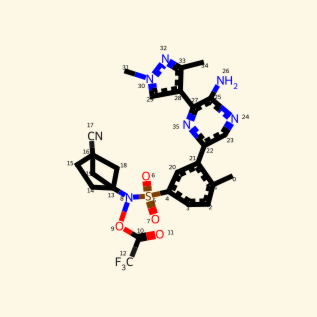 Cc1ccc(S(=O)(=O)N(OC(=O)C(F)(F)F)C23CCC(C#N)(C2)C3)cc1-c1cnc(N)c(-c2cn(C)nc2C)n1